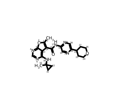 Cc1oc2ncnc(NC3(C)CC3)c2c1C(=O)Nc1cnc(C2CCOCC2)cn1